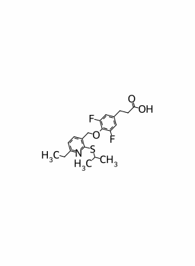 CCc1ccc(COc2c(F)cc(CCC(=O)O)cc2F)c(SC(C)C)n1